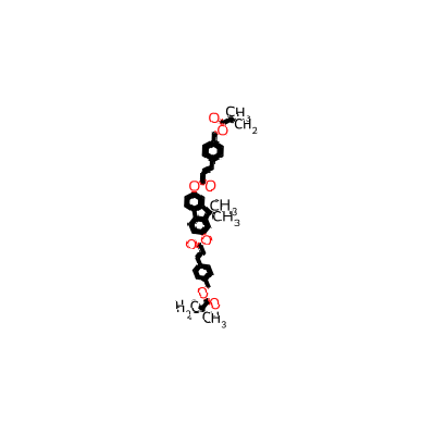 C=C(C)C(=O)OCc1ccc(C=CC(=O)Oc2ccc3c(c2)C(C)(C)c2cc(OC(=O)C=Cc4ccc(COC(=O)C(=C)C)cc4)ccc2-3)cc1